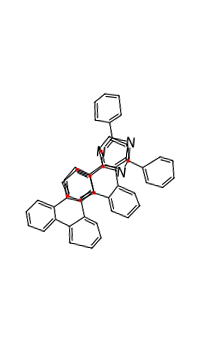 c1ccc(-c2nc(-c3ccccc3)nc(-c3ccccc3-c3ccccc3-c3ccccc3-c3ccc4c5ccccc5c5ccccc5c4c3)n2)cc1